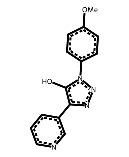 COc1ccc(-n2nnc(-c3cccnc3)c2O)cc1